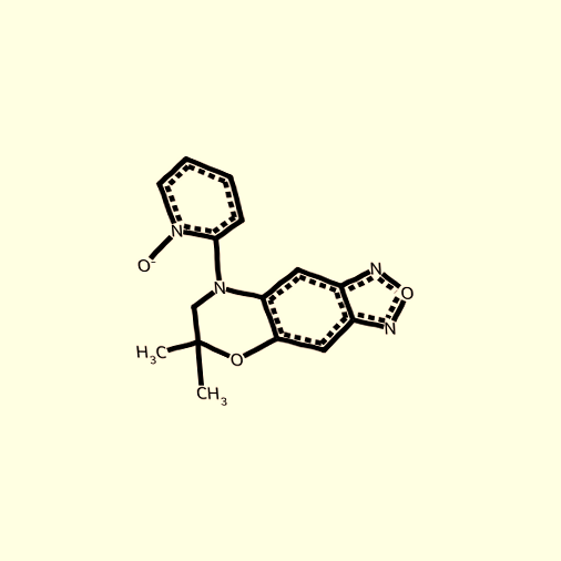 CC1(C)CN(c2cccc[n+]2[O-])c2cc3nonc3cc2O1